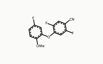 COc1ccc(F)cc1Oc1cc(F)c(C#N)cc1F